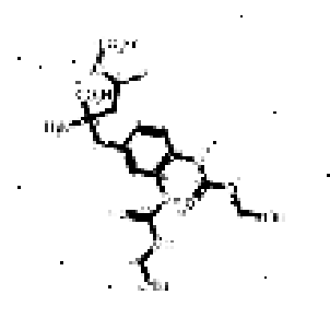 CCOC(=O)O[C@@H](C)CC(N)(Cc1ccc(OC(=O)OCC(C)(C)C)c(OC(=O)OCC(C)(C)C)c1)C(=O)O